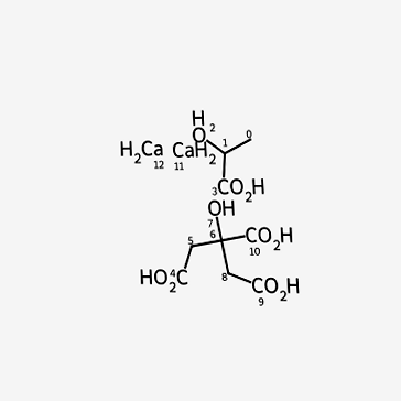 CC(O)C(=O)O.O=C(O)CC(O)(CC(=O)O)C(=O)O.[CaH2].[CaH2]